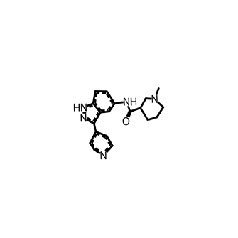 CN1CCCC(C(=O)Nc2ccc3[nH]nc(-c4ccncc4)c3c2)C1